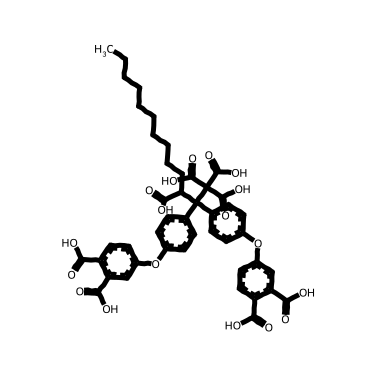 CCCCCCCCCCC(C(=O)O)C(c1ccc(Oc2ccc(C(=O)O)c(C(=O)O)c2)cc1)(c1ccc(Oc2ccc(C(=O)O)c(C(=O)O)c2)cc1)C(C(=O)O)(C(=O)O)C(=O)O